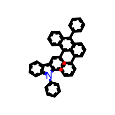 c1ccc(-c2c3ccccc3c(-c3ccc4c(c3)c3ccccc3n4-c3ccccc3)c3c(-c4ccccc4)cccc23)cc1